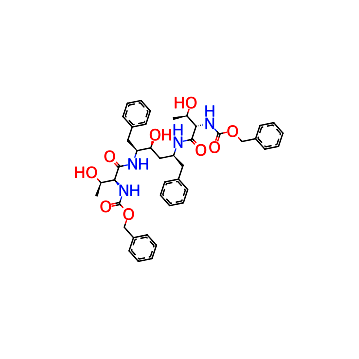 C[C@@H](O)[C@H](NC(=O)OCc1ccccc1)C(=O)N[C@@H](Cc1ccccc1)C[C@H](O)[C@H](Cc1ccccc1)NC(=O)[C@@H](NC(=O)OCc1ccccc1)[C@@H](C)O